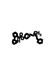 CN(CCc1ccccc1)CCN1CCC(OC(=O)Nc2ccccc2-c2ccccc2)CC1